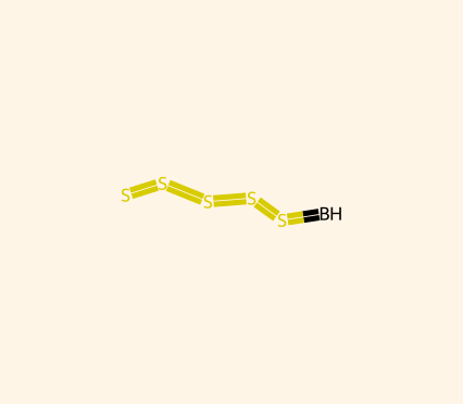 B=S=S=S=S=S